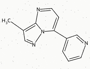 Cc1cnn2c(-c3cccnc3)ccnc12